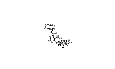 O=C(CN1CCCc2ccccc21)N1CCCc2cc(S(=O)(=O)Nc3nccs3)ccc21